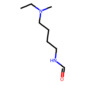 CCN(C)CCCCNC=O